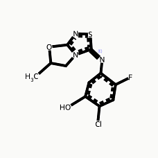 CC1Cn2c(ns/c2=N/c2cc(O)c(Cl)cc2F)O1